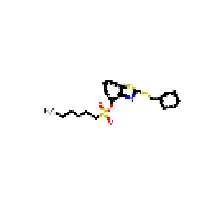 CCCCCCS(=O)(=O)Oc1cccc2sc(SCc3ccccc3)nc12